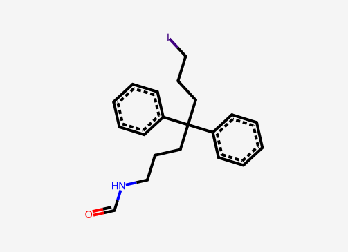 O=CNCCCC(CCCI)(c1ccccc1)c1ccccc1